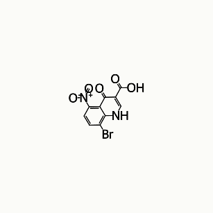 O=C(O)c1c[nH]c2c(Br)ccc([N+](=O)[O-])c2c1=O